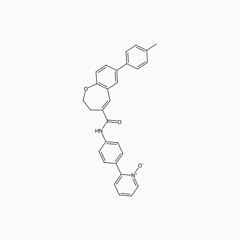 Cc1ccc(-c2ccc3c(c2)C=C(C(=O)Nc2ccc(-c4cccc[n+]4[O-])cc2)CCO3)cc1